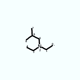 [CH2]CN(CC)CC(C)C